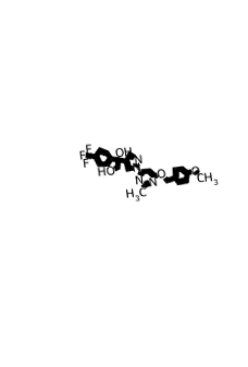 COc1ccc(COc2cc(-n3cc(C(O)(CO)c4ccc(C(F)(F)F)cc4)cn3)nc(C)n2)cc1